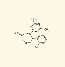 C=C1COCC(c2ccccc2Cl)N(c2cc(C)nc(N)n2)C1